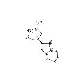 C[C@@H]1C[C@@H](c2nc3ccccc3[nH]2)CCN1